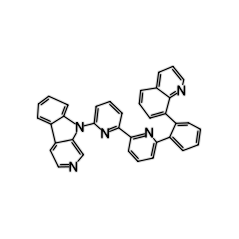 c1cc(-c2cccc(-n3c4ccccc4c4ccncc43)n2)nc(-c2ccccc2-c2cccc3cccnc23)c1